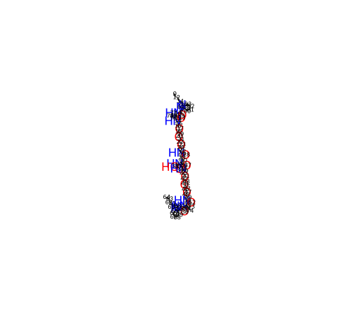 C=CCCCn1nc(C(=O)NC(C(=O)NCCOCCOCCOCCNC(=O)CCC(NC(=O)O)C(=O)NCCOCCOCCOCCNC(=O)C(NC(=O)c2nn(CCCC=C)c3ccccc23)C(C)(C)C)C(C)(C)C)c2ccccc21